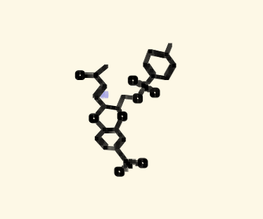 CC(=O)/C=C/C1Oc2ccc([N+](=O)[O-])cc2OC1COS(=O)(=O)c1ccc(C)cc1